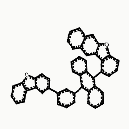 c1cc(-c2ccc3oc4ccccc4c3c2)cc(-c2c3ccccc3c(-c3cccc4oc5cc6ccccc6cc5c34)c3ccccc23)c1